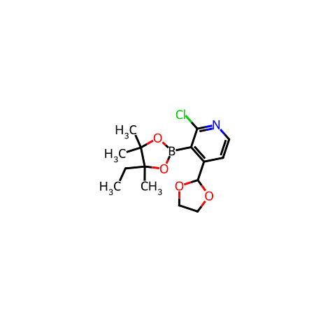 CCC1(C)OB(c2c(C3OCCO3)ccnc2Cl)OC1(C)C